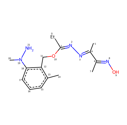 CC/C(=N/N=C(C)/C(C)=N/O)OCc1c(C)cccc1N(C)N